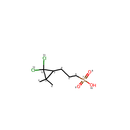 CC1(C)C(CCCS(=O)(=O)O)C1(Cl)Cl